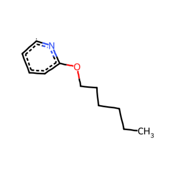 CCCCCCOc1ccc[c]n1